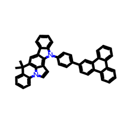 CC1(C)c2ccccc2-n2ccc3c2c1cc1c2ccccc2n(-c2ccc(-c4ccc5c6ccccc6c6ccccc6c5c4)cc2)c13